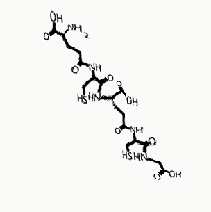 N[C@@H](CCC(=O)NC(CS)C(=O)N[C@@H](CCC(=O)NC(CS)C(=O)NCC(=O)O)C(=O)O)C(=O)O